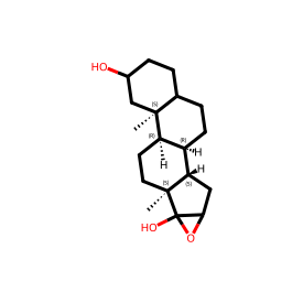 C[C@]12CC(O)CCC1CC[C@@H]1[C@H]2CC[C@@]2(C)[C@H]1CC1OC12O